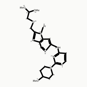 COC1CCN(c2nccc(Nc3cc4c(cn3)nc(COCC(OC)OC)n4C(C)C)n2)CC1